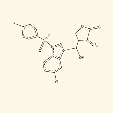 C=C1C(=O)OCC1C(O)c1cn(S(=O)(=O)c2ccc(F)cc2)c2ccc(Cl)cc12